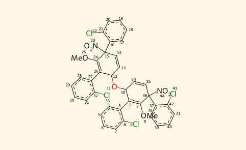 COC1=C(c2ccccc2Cl)C(OC2C=CC(c3ccccc3Cl)([N+](=O)[O-])C(OC)=C2c2ccccc2Cl)C=CC1(c1ccccc1Cl)[N+](=O)[O-]